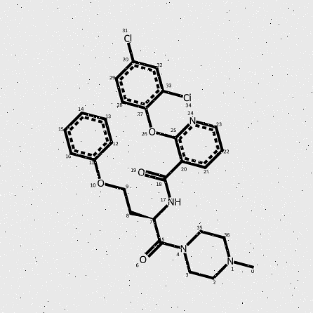 CN1CCN(C(=O)[C@@H](CCOc2ccccc2)NC(=O)c2cccnc2Oc2ccc(Cl)cc2Cl)CC1